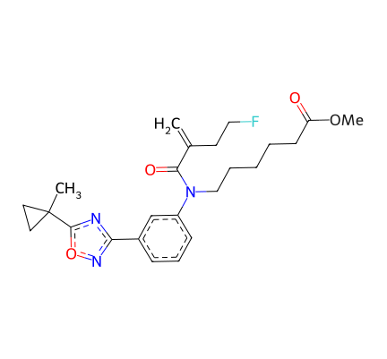 C=C(CCF)C(=O)N(CCCCCC(=O)OC)c1cccc(-c2noc(C3(C)CC3)n2)c1